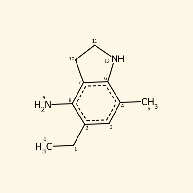 CCc1cc(C)c2c(c1N)CCN2